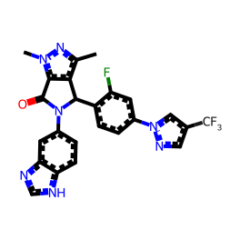 Cc1nn(C)c2c1C(c1ccc(-n3cc(C(F)(F)F)cn3)cc1F)N(c1ccc3[nH]cnc3c1)C2=O